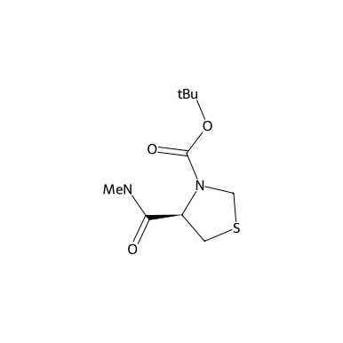 CNC(=O)[C@@H]1CSCN1C(=O)OC(C)(C)C